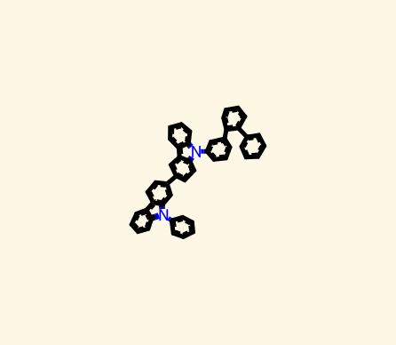 c1ccc(-c2ccccc2-c2cccc(-n3c4ccccc4c4cc(-c5ccc6c7ccccc7n(-c7ccccc7)c6c5)ccc43)c2)cc1